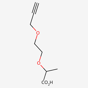 C#CCOCCOC(C)C(=O)O